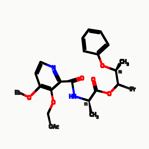 CCOc1ccnc(C(=O)N[C@@H](C)C(=O)OC(C(C)C)[C@H](C)Oc2ccccc2)c1OCOC(C)=O